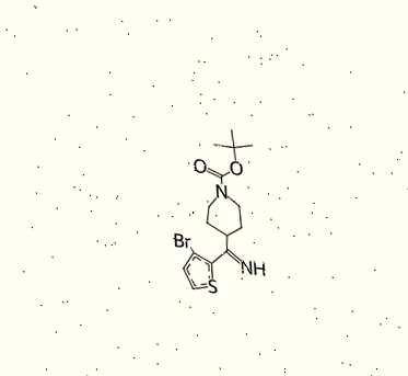 CC(C)(C)OC(=O)N1CCC(C(=N)c2sccc2Br)CC1